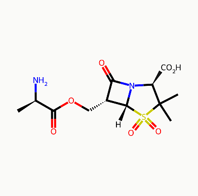 C[C@@H](N)C(=O)OC[C@@H]1C(=O)N2[C@@H](C(=O)O)C(C)(C)S(=O)(=O)[C@H]12